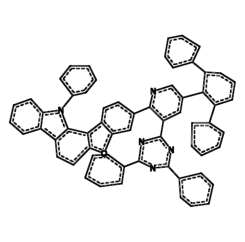 c1ccc(-c2nc(-c3ccccc3)nc(-c3cc(-c4c(-c5ccccc5)cccc4-c4ccccc4)cnc3-c3ccc4c(c3)oc3ccc5c6ccccc6n(-c6ccccc6)c5c34)n2)cc1